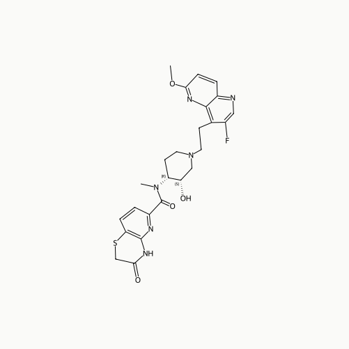 COc1ccc2ncc(F)c(CCN3CC[C@@H](N(C)C(=O)c4ccc5c(n4)NC(=O)CS5)[C@@H](O)C3)c2n1